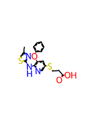 Cc1csc(Nc2ncc(SCCC(=O)O)cc2Oc2ccccc2)n1